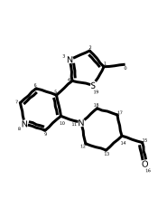 Cc1cnc(-c2ccncc2N2CCC(C=O)CC2)s1